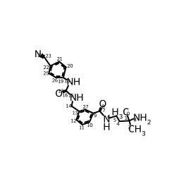 CC(C)(N)CCNC(=O)c1cccc(CNC(=O)Nc2ccc(C#N)cc2)c1